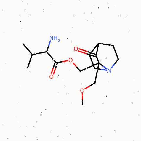 COCC1(COC(=O)C(N)C(C)C)C(=O)C2CCN1CC2